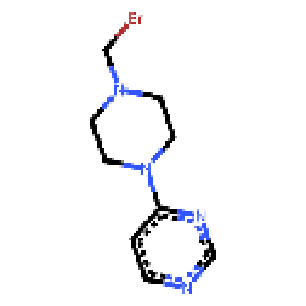 BrCN1CCN(c2ccncn2)CC1